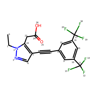 CCn1ncc(C#Cc2cc(C(F)(F)F)cc(C(F)(F)F)c2)c1CC(=O)O